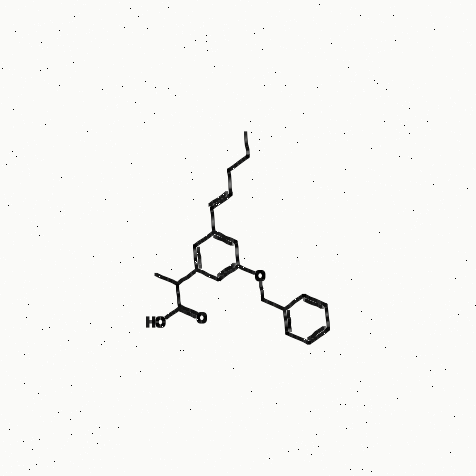 CCC/C=C/c1cc(OCc2ccccc2)cc(C(C)C(=O)O)c1